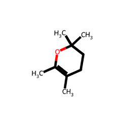 CC1=C(C)OC(C)(C)CC1